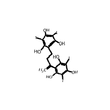 C=C(CCc1c(O)c(I)c(O)c(I)c1O)c1c(O)c(I)c(O)c(I)c1O